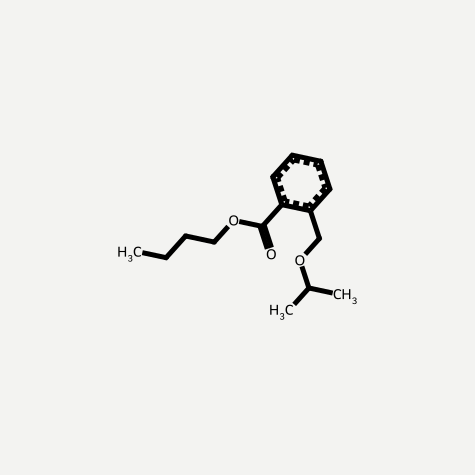 CCCCOC(=O)c1ccccc1COC(C)C